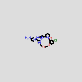 CN1CCOCCOc2ccc(Cl)cc2C(=O)N2CCCCC2c2cc3nc(N4CC[C@H](N)C4)cc1n3n2